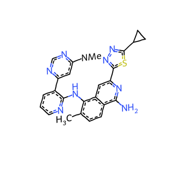 CNc1cc(-c2cccnc2Nc2c(C)ccc3c(N)nc(-c4nnc(C5CC5)s4)cc23)ncn1